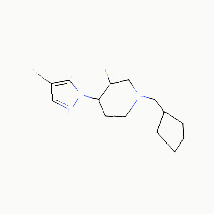 O=[N+]([O-])c1cnn(C2CCN(CC3CCCC3)CC2F)c1